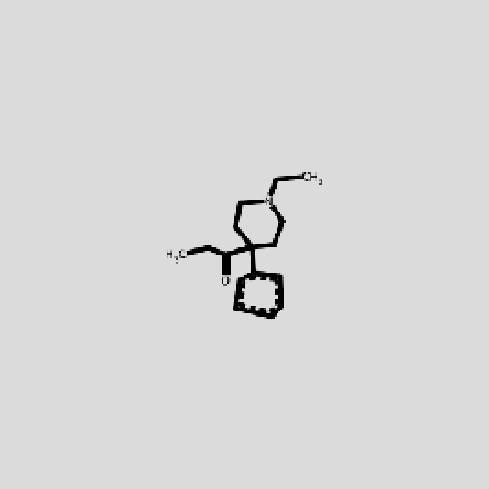 CCC(=O)C1(c2ccccc2)CCN(CC)CC1